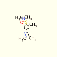 Cc1cc(-c2cc(C)n(C)n2)ccc1SC(=O)N(C)C